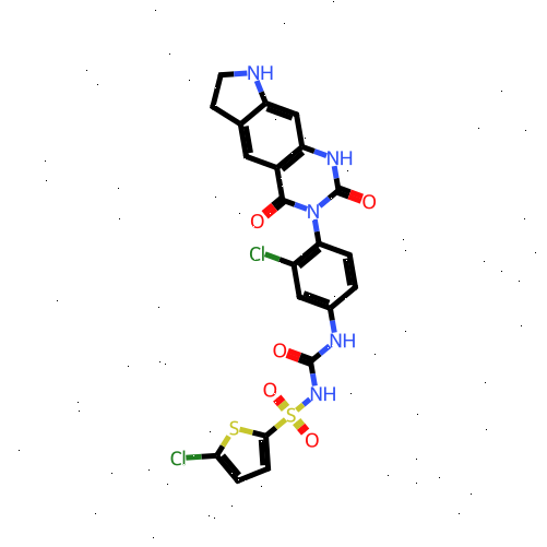 O=C(Nc1ccc(-n2c(=O)[nH]c3cc4c(cc3c2=O)CCN4)c(Cl)c1)NS(=O)(=O)c1ccc(Cl)s1